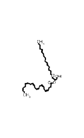 CC/C=C\C/C=C\C/C=C\C/C=C\C/C=C\C/C=C\CCC(=O)OC(CO)COCCCCCCCCCCCCCCCC